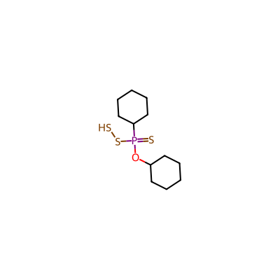 S=P(OC1CCCCC1)(SS)C1CCCCC1